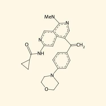 C=C(c1ccc(N2CCOCC2)cc1)c1cnc(NC)c2cnc(NC(=O)C3CC3)cc12